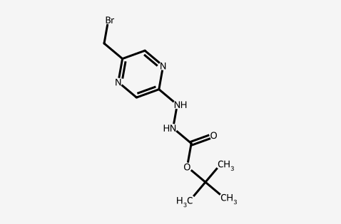 CC(C)(C)OC(=O)NNc1cnc(CBr)cn1